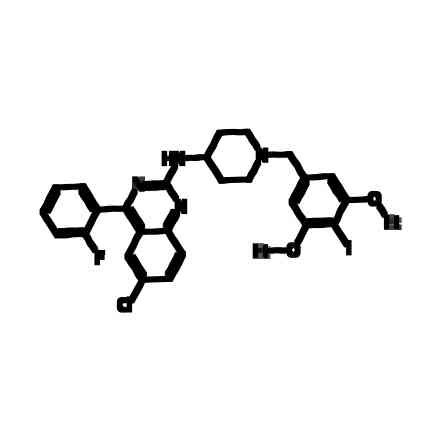 CCOc1cc(CN2CCC(Nc3nc(-c4ccccc4F)c4cc(Cl)ccc4n3)CC2)cc(OCC)c1I